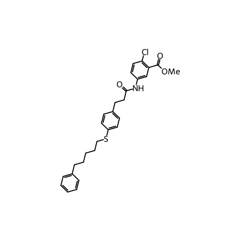 COC(=O)c1cc(NC(=O)CCc2ccc(SCCCCCc3ccccc3)cc2)ccc1Cl